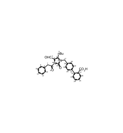 CCCCc1c(C=O)n(C(=O)Cc2ccccc2)c(=O)n1Cc1ccc(-c2ccccc2C(=O)O)cc1